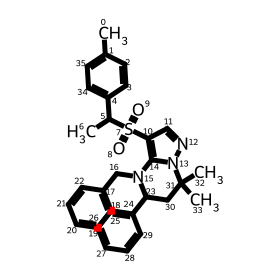 Cc1ccc(C(C)S(=O)(=O)c2cnn3c2N(Cc2ccccc2)C(c2ccccc2)CC3(C)C)cc1